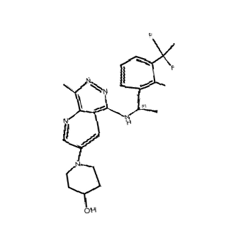 Cc1c([C@@H](C)Nc2nnc(C)c3ncc(N4CCC(O)CC4)cc23)cccc1C(C)(F)F